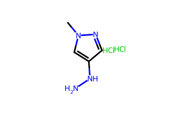 Cl.Cl.Cn1cc(NN)cn1